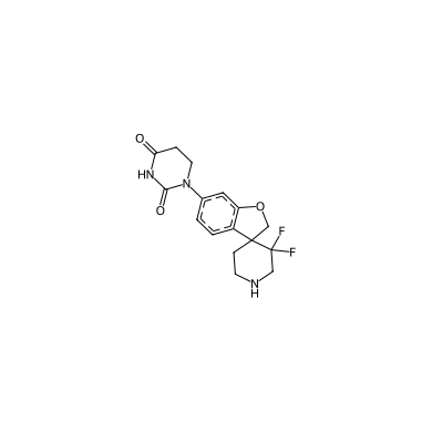 O=C1CCN(c2ccc3c(c2)OCC32CCNCC2(F)F)C(=O)N1